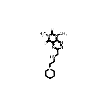 Cn1c(=O)c2nc(CNCCN3CCCCC3)nnc2n(C)c1=O